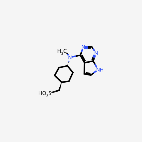 CN(c1ncnc2[nH]ccc12)[C@H]1CC[C@H](CS(=O)(=O)O)CC1